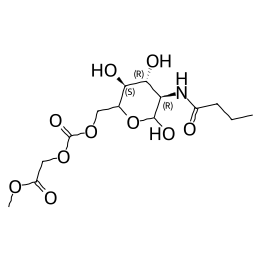 CCCC(=O)N[C@H]1C(O)OC(COC(=O)OCC(=O)OC)[C@@H](O)[C@@H]1O